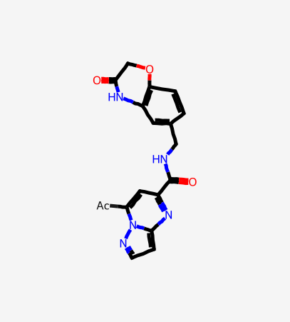 CC(=O)c1cc(C(=O)NCc2ccc3c(c2)NC(=O)CO3)nc2ccnn12